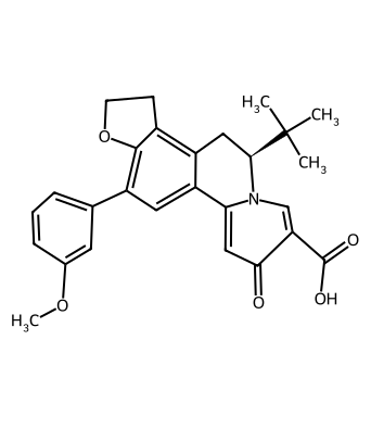 COc1cccc(-c2cc3c(c4c2OCC4)C[C@@H](C(C)(C)C)n2cc(C(=O)O)c(=O)cc2-3)c1